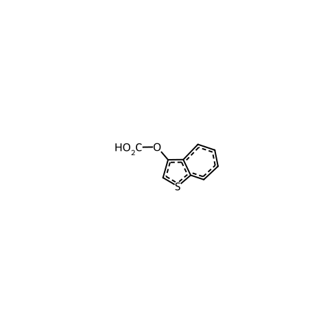 O=C(O)Oc1csc2ccccc12